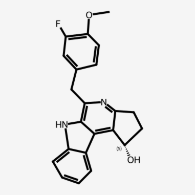 COc1ccc(Cc2nc3c(c4c2[nH]c2ccccc24)[C@@H](O)CC3)cc1F